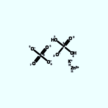 O=P([O-])(O)O.O=S(=O)([O-])[O-].[K+].[Zn+2]